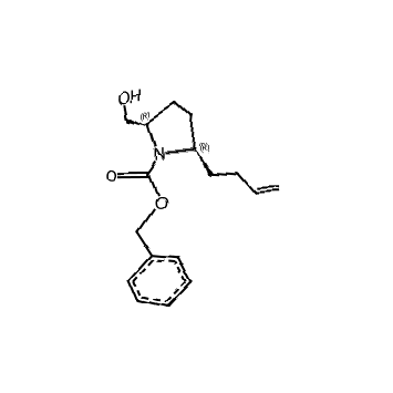 C=CCC[C@@H]1CC[C@H](CO)N1C(=O)OCc1ccccc1